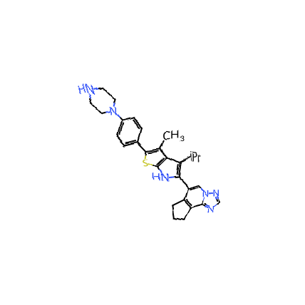 Cc1c(-c2ccc(N3CCNCC3)cc2)sc2[nH]c(-c3cn4ncnc4c4c3CCC4)c(C(C)C)c12